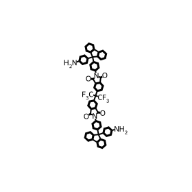 Nc1ccc(C2(c3ccc(N4C(=O)c5ccc(C(c6ccc7c(c6)C(=O)N(c6ccc(C8(c9ccc(N)cc9)c9ccccc9-c9ccccc98)cc6)C7=O)(C(F)(F)F)C(F)(F)F)cc5C4=O)cc3)c3ccccc3-c3ccccc32)cc1